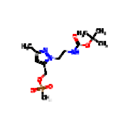 Cc1cc(COS(C)(=O)=O)n(CCNC(=O)OC(C)(C)C)n1